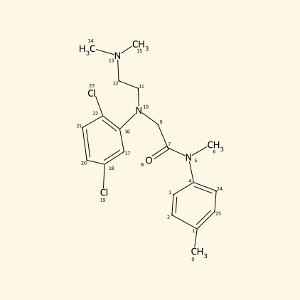 Cc1ccc(N(C)C(=O)CN(CCN(C)C)c2cc(Cl)ccc2Cl)cc1